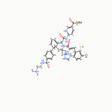 COC(=O)c1ccc(NC(=O)C2c3cccc(-c4ccc(C(=O)NCCN(C)C)cc4)c3CC(C)(C)N2C(=O)/C=C/c2c(-n3cnnn3)ccc(Cl)c2F)nc1